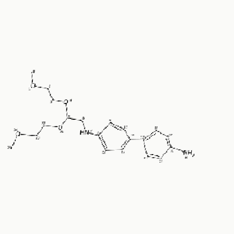 COCCOC(CNc1ccc(-c2ccc(N)cc2)cc1)OCCOC